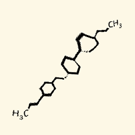 CCCC1CCC(CC[C@H]2CC[C@H]([C@H]3CC[C@H](CCC)CC3)CC2)CC1